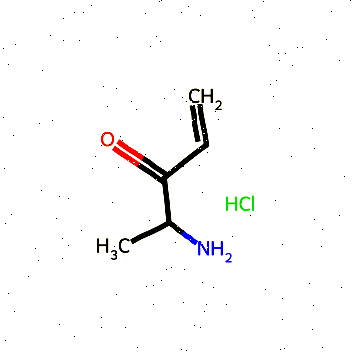 C=CC(=O)C(C)N.Cl